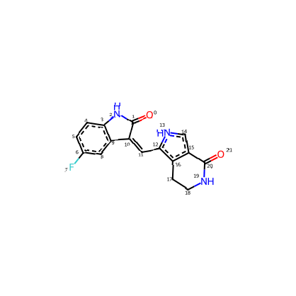 O=C1Nc2ccc(F)cc2C1=Cc1[nH]cc2c1CCNC2=O